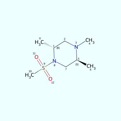 C[C@@H]1CN(C)[C@@H](C)CN1S(C)(=O)=O